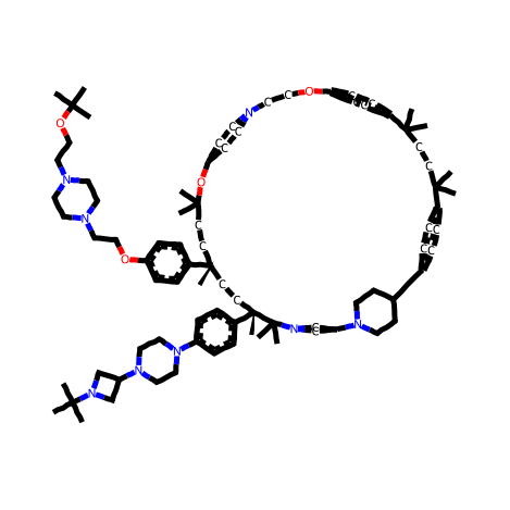 CC(C)(C)OCCN1CCN(CCOc2ccc([C@]3(C)CCC(C)(C)OC4CCN(CCOc5ccc(cc5)C(C)(C)CCC(C)(C)c5ccc(cc5)C5CCN(CC5)C5CN(C5)C(C)(C)[C@](C)(c5ccc(N6CCN(C7CN(C(C)(C)C)C7)CC6)cc5)CC3)CC4)cc2)CC1